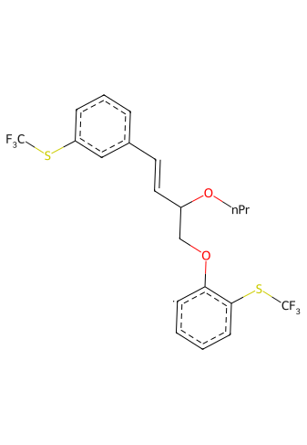 CCCOC(C=Cc1cccc(SC(F)(F)F)c1)COc1[c]cccc1SC(F)(F)F